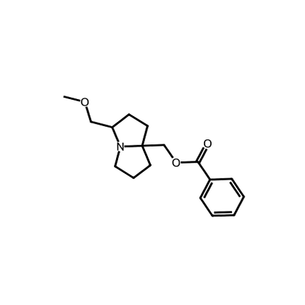 COCC1CCC2(COC(=O)c3ccccc3)CCCN12